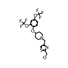 [O]Cc1nc(CN2CCC(Oc3ccc(OC(F)(F)F)cc3OC(F)(F)F)CC2)cs1